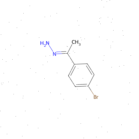 CC(=NN)c1ccc(Br)cc1